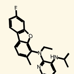 CCN(c1ncccc1NC(C)C)c1c(C)ccc2c1oc1cc(F)ccc12